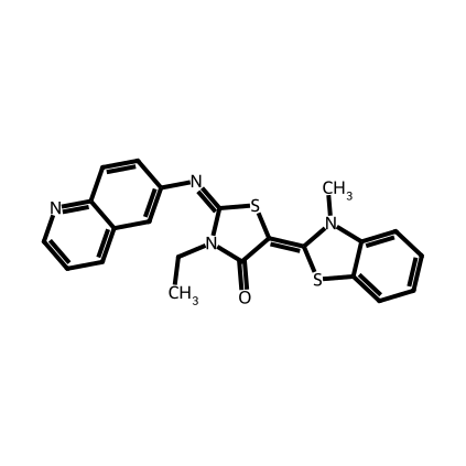 CCN1C(=O)C(=C2Sc3ccccc3N2C)SC1=Nc1ccc2ncccc2c1